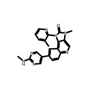 CNc1ncc(-c2ccc3ncc4c(c3c2)n(-c2ncccc2C)c(=O)n4C)cn1